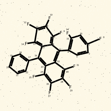 Fc1ccc(-c2c3c(F)c(F)c(F)c(F)c3c(-c3ccccc3)c3c(F)c(F)c(F)c(F)c23)c(F)c1